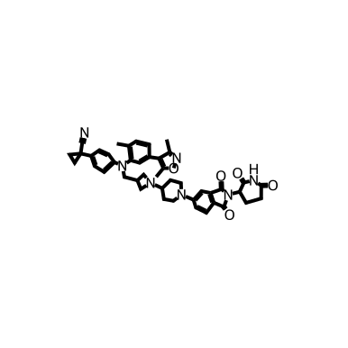 Cc1ccc(-c2c(C)noc2C)cc1N(CC1CN(C2CCN(c3ccc4c(c3)C(=O)N(C3CCC(=O)NC3=O)C4=O)CC2)C1)c1ccc(C2(C#N)CC2)cc1